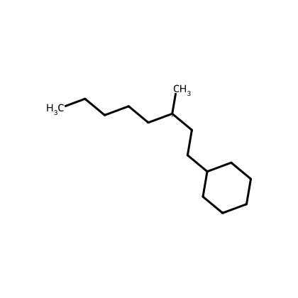 CCCCC[C](C)CCC1CCCCC1